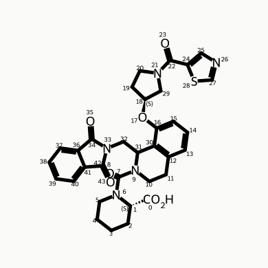 O=C(O)[C@@H]1CCCCN1C(=O)N1CCc2cccc(O[C@H]3CCN(C(=O)c4cncs4)C3)c2C1CN1C(=O)c2ccccc2C1=O